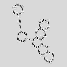 C(#Cc1cccc(-c2cc3cc4ccccc4cc3c3cc4ccccc4cc23)c1)c1ccccc1